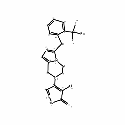 O=c1[nH]ncc(N2CCn3c(cnc3Cc3ccccc3C(F)(F)F)C2)c1Cl